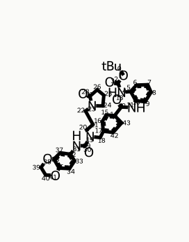 CC(C)(C)OC(=O)Nc1ccccc1NC(=O)c1ccc(CN(CCCN2CCCC2=O)C(=O)Nc2ccc3c(c2)OCCO3)cc1